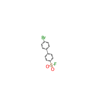 O=S(=O)(F)c1ccc(-c2ccc(Br)cc2)cc1